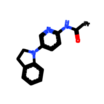 CC(C)C(=O)Nc1ccc(N2CCc3ccccc32)cn1